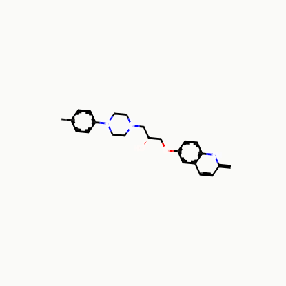 C=C1C=Cc2cc(OC[C@@H](O)CN3CCN(c4ccc(CC)cc4)CC3)ccc2N1